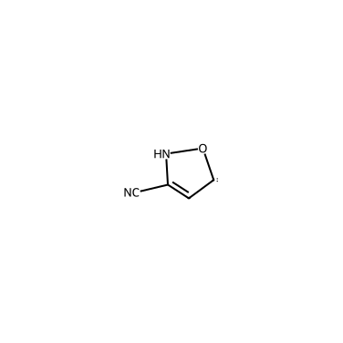 N#CC1=C[C]ON1